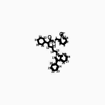 O=C(NCc1cccc[n+]1[O-])C(CCCCn1cc(-c2ccccc2)c2cccnc21)C1CCCCC1